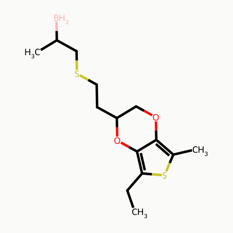 BC(C)CSCCC1COc2c(C)sc(CC)c2O1